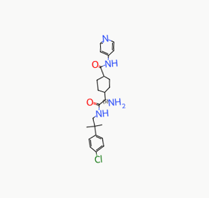 CC(C)(CNC(=O)[C@@H](N)C1CCC(C(=O)Nc2ccncc2)CC1)c1ccc(Cl)cc1